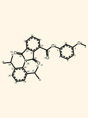 COc1cccc(OC(=O)c2cccc3c2C(=O)N(c2c(C(C)C)cccc2C(C)C)C3=O)c1